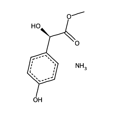 COC(=O)[C@H](O)c1ccc(O)cc1.N